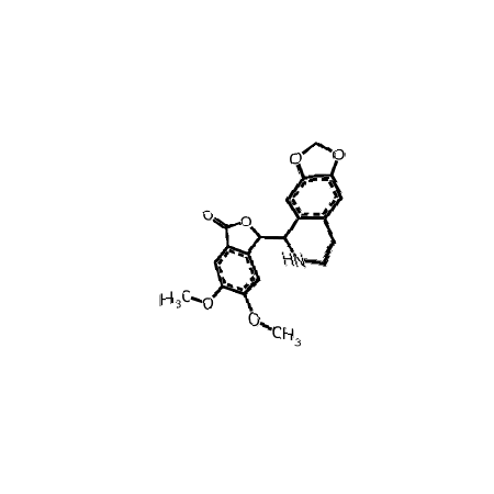 COc1cc2c(cc1OC)C(C1NCCc3cc4c(cc31)OCO4)OC2=O